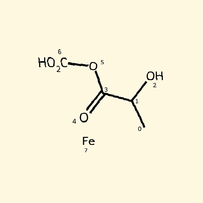 CC(O)C(=O)OC(=O)O.[Fe]